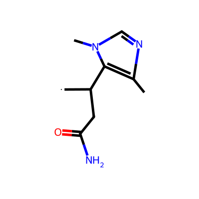 [CH2]C(CC(N)=O)c1c(C)ncn1C